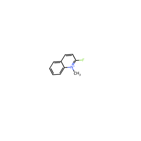 C[n+]1c(F)ccc2ccccc21